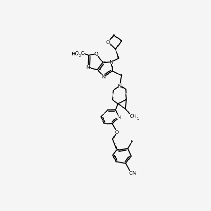 CC1C2CN(Cc3nc4nc(C(=O)O)oc4n3C[C@@H]3CCO3)CCC12c1cccc(OCc2ccc(C#N)cc2F)n1